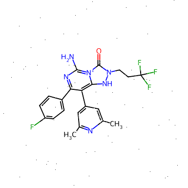 Cc1cc(-c2c(-c3ccc(F)cc3)nc(N)[n+]3c(=O)n(CCC(F)(F)F)[nH]c23)cc(C)n1